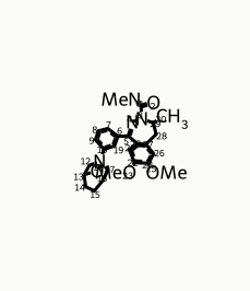 CNC(=O)N1N=C(c2cccc(N3CC4CCC(C3)O4)c2)c2cc(OC)c(OC)cc2CC1C